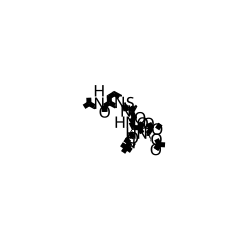 COC(=O)[C@H](COC(C)=O)NC(=O)[C@H](CO[Si](C)(C)C(C)(C)C)NC(=O)c1csc(N2CCCC(C(=O)NCC(C)C)C2)n1